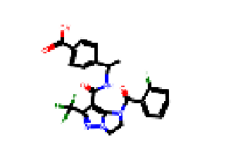 CC(NC(=O)c1c(C(F)(F)F)nn2c1N(C(=O)c1ccccc1F)CC2)c1ccc(C(=O)O)cc1